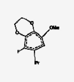 COc1cc(C(C)C)c(F)c2c1OCCO2